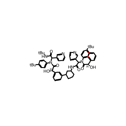 CC(C)(C)NC(=O)C(c1cccnc1)N(C(=O)[C@H](O)c1cccc(C2CCCC(NC(=O)C(c3cccnc3)N(C(=O)[C@H](O)c3ccccc3)c3ccc(C(C)(C)C)cc3)C2)c1)c1ccc(C(C)(C)C)cc1